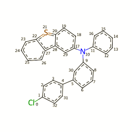 Clc1ccc(-c2cccc(N(c3ccccc3)c3ccc4sc5ccccc5c4c3)c2)cc1